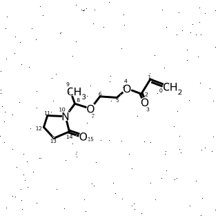 C=CC(=O)OCCOC(C)N1CCCC1=O